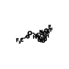 CS(=O)(=O)CC(=O)Nc1c2c(nn1-c1ccc(C(F)F)nn1)C[C@H](CCc1cccc(OCCCC(F)(F)F)c1)NC2=O